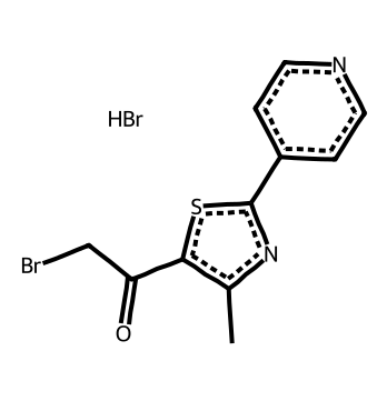 Br.Cc1nc(-c2ccncc2)sc1C(=O)CBr